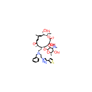 CC[C@H]1OC(=O)C[C@@H](O)[C@H](C)[C@@H](O[C@@H]2O[C@H](C)[C@@H](O)C(N(C)C)C2O)[C@@H](CCN(CCn2cc(-c3ccsc3)nn2)Cc2ccccc2)C[C@@H](C)C(=O)/C=C/C(C)=C/[C@@H]1CO